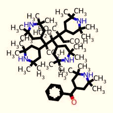 CC1(C)CC(C(=O)c2ccccc2)CC(C)(C)N1.CC1(C)CC(C(CC(=O)O)(C(=O)O)C(C(=O)O)(C2CC(C)(C)NC(C)(C)C2)C(C(=O)O)(C2CC(C)(C)NC(C)(C)C2)C2CC(C)(C)NC(C)(C)C2)CC(C)(C)N1